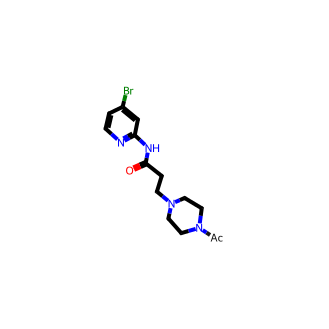 CC(=O)N1CCN(CCC(=O)Nc2cc(Br)ccn2)CC1